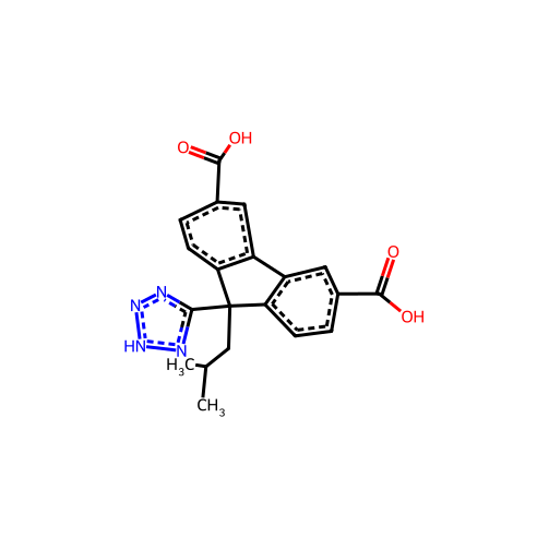 CC(C)CC1(c2nn[nH]n2)c2ccc(C(=O)O)cc2-c2cc(C(=O)O)ccc21